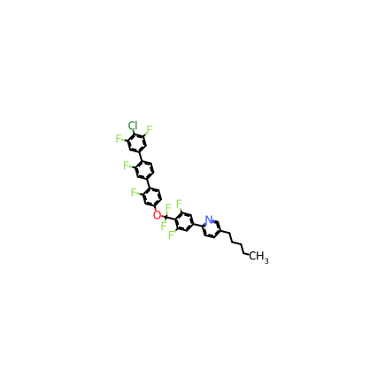 CCCCCc1ccc(-c2cc(F)c(C(F)(F)Oc3ccc(-c4ccc(-c5cc(F)c(Cl)c(F)c5)c(F)c4)c(F)c3)c(F)c2)nc1